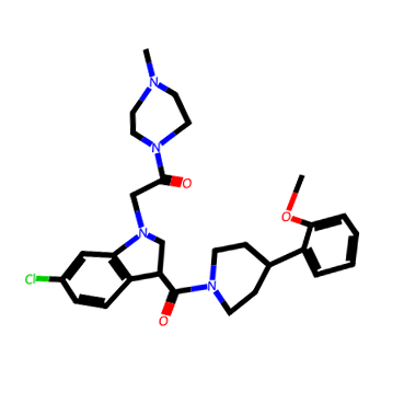 COc1ccccc1C1CCN(C(=O)C2CN(CC(=O)N3CCN(C)CC3)c3cc(Cl)ccc32)CC1